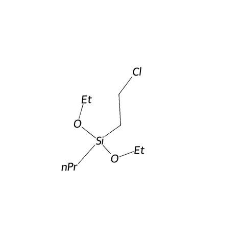 CCC[Si](CCCl)(OCC)OCC